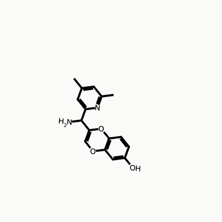 Cc1cc(C)nc(C(N)C2=COc3cc(O)ccc3O2)c1